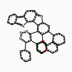 c1ccc(-c2cc3c(c(-c4nnnc(-c5ccccc5)c4-c4ccccc4)c2-c2cccc4ccccc24)-c2c4c(ccc2=N3)=c2ccccc2=N4)cc1